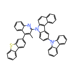 Cc1c(-n2c3ccc(-n4c5ccccc5c5ccccc54)cc3c3c4ccccc4ccc32)nc2ccccc2c1-c1ccc2c(c1)sc1ccccc12